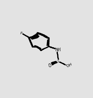 O=S(O)Nc1ccc(F)cc1